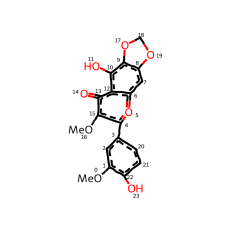 COc1cc(-c2oc3cc4c(c(O)c3c(=O)c2OC)OCO4)ccc1O